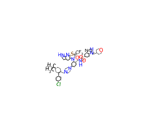 CC1(C)CCC(CN2CCN(c3ccc(C(=O)NS(=O)(=O)c4ccc(NCC5CCOCC5)c([N+](=O)[O-])c4)c(N4C[C@@H](C(F)(F)F)Sc5nc6[nH]ccc6cc54)c3)CC2)=C(c2ccc(Cl)cc2)C1